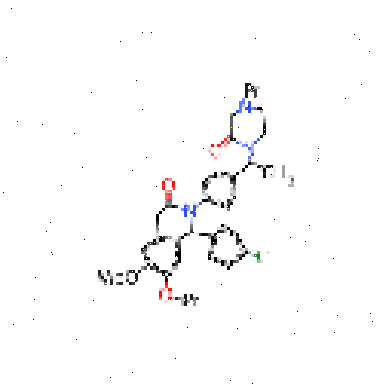 COc1cc2c(cc1OC(C)C)[C@H](c1ccc(Cl)cc1)N(c1ccc([C@H](C)N3CCN(C(C)C)CC3=O)cc1)C(=O)C2